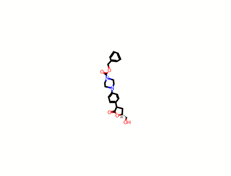 O=C1O[C@@H](CO)CC1c1ccc(N2CCN(C(=O)OCc3ccccc3)CC2)cc1